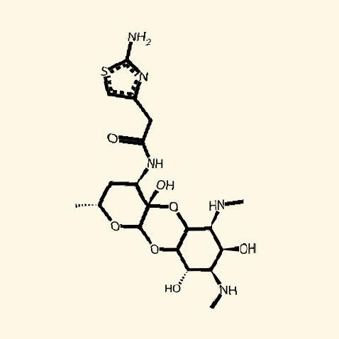 CN[C@@H]1[C@H](O)[C@H](NC)C2O[C@]3(O)C(OC2[C@H]1O)O[C@H](C)C[C@H]3NC(=O)Cc1csc(N)n1